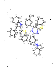 N#Cc1cc(-c2nc(-c3cccc(-n4ccc5ccccc54)c3)nc3sc4ccccc4c23)cc(-n2c3ccccc3c3c4ccccc4c4c5ccccc5sc4c32)c1